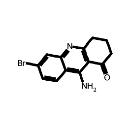 Nc1c2c(nc3cc(Br)ccc13)CCCC2=O